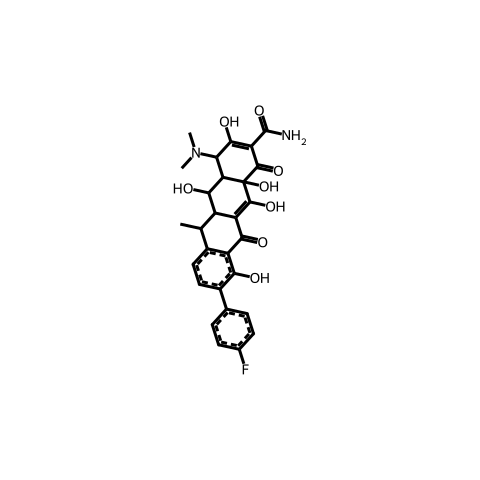 CC1c2ccc(-c3ccc(F)cc3)c(O)c2C(=O)C2=C(O)C3(O)C(=O)C(C(N)=O)=C(O)C(N(C)C)C3C(O)C21